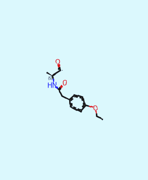 CCOc1ccc(CC(=O)N[C@@H](C)[C]=O)cc1